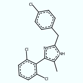 Cc1[nH]c(Cc2ccc(Cl)cc2)nc1-c1c(Cl)cccc1Cl